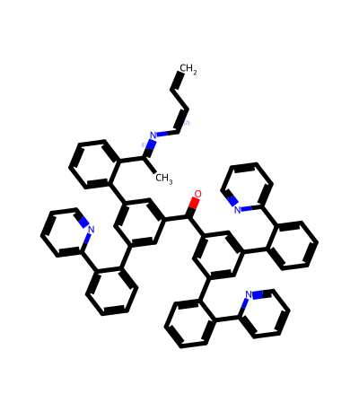 C=C/C=C\N=C(/C)c1ccccc1-c1cc(C(=O)c2cc(-c3ccccc3-c3ccccn3)cc(-c3ccccc3-c3ccccn3)c2)cc(-c2ccccc2-c2ccccn2)c1